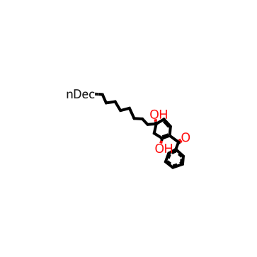 CCCCCCCCCCCCCCCCCCC1(O)C=CC(C(=O)c2ccccc2)=C(O)C1